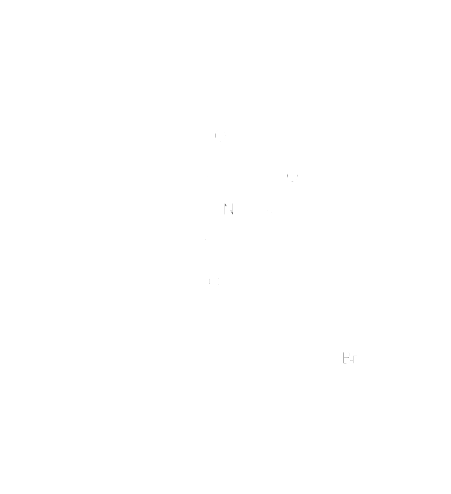 O=C(c1ccc(Br)cc1)N1C(=O)c2ccccc2C1=O